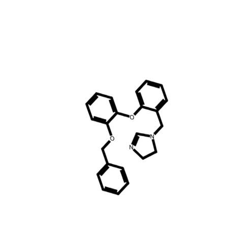 C1=NCCN1Cc1ccccc1Oc1ccccc1OCc1ccccc1